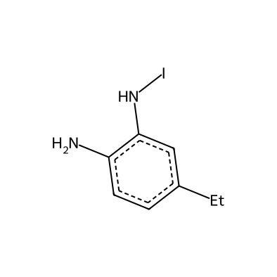 CCc1ccc(N)c(NI)c1